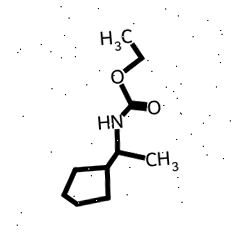 CCOC(=O)NC(C)C1CCCC1